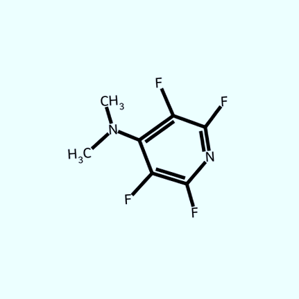 CN(C)c1c(F)c(F)nc(F)c1F